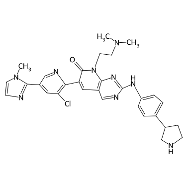 CN(C)CCn1c(=O)c(-c2ncc(-c3nccn3C)cc2Cl)cc2cnc(Nc3ccc(C4CCNC4)cc3)nc21